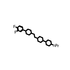 CCCC1CCC(C2CCC(CCC3CCC(c4ccc(F)c(F)c4)CC3)CC2)CC1